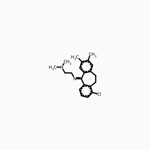 Cc1cc2c(cc1C)C(=NCCN(C)C)c1cccc(Cl)c1CC2